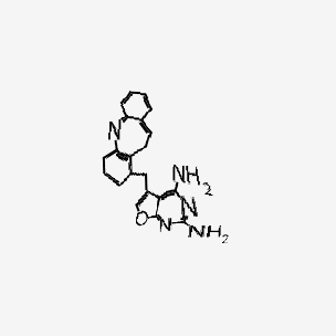 Nc1nc(N)c2c(CC3C=CCC4=C3CC=c3ccccc3=N4)coc2n1